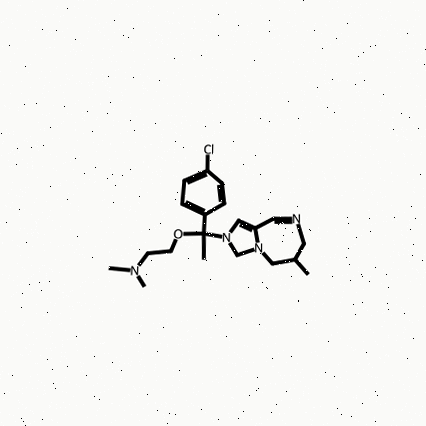 CC1CN=CC2=CN(C(C)(OCCN(C)C)c3ccc(Cl)cc3)CN2C1